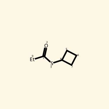 CCC(=O)SC1C[CH]C1